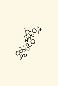 CCOC(=O)C(CCOC(=O)Cc1cccc(N(C(=O)c2ccc(C)cc2-c2ccc(C(F)(F)F)cc2)C(=O)N(C)C)c1)(C(=O)OCC)c1ccccc1